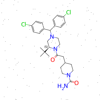 CC(C)(C)[C@H]1CN(C(c2ccc(Cl)cc2)c2ccc(Cl)cc2)CCN1C(=O)CC1CCN(C(N)=O)CC1